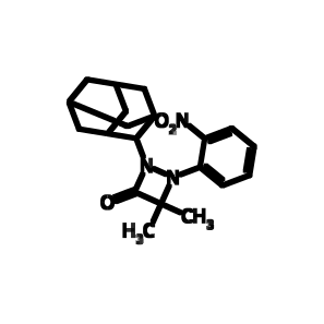 CC1(C)C(=O)N(C2C3CC4CC(C3)CC2C4)N1c1ccccc1[N+](=O)[O-]